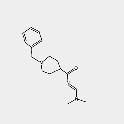 CN(C)/C=N/C(=O)C1CCN(Cc2ccccc2)CC1